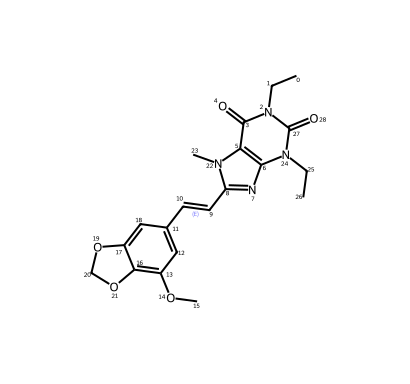 CCn1c(=O)c2c(nc(/C=C/c3cc(OC)c4c(c3)OCO4)n2C)n(CC)c1=O